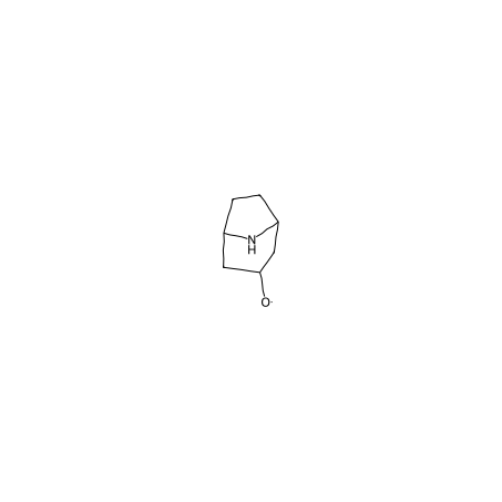 [O]C1CC2CCC(C1)N2